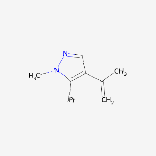 C=C(C)c1cnn(C)c1C(C)C